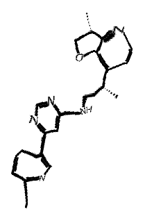 Cc1ccc(-c2cc(NC[C@@H](C)c3ccnc4c3OC[C@@H]4C)ncn2)cn1